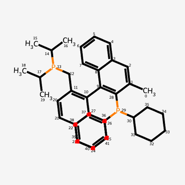 Cc1cc2ccccc2c(-c2c(CP(C(C)C)C(C)C)ccc3ccccc23)c1P(C1CCCCC1)C1CCCCC1